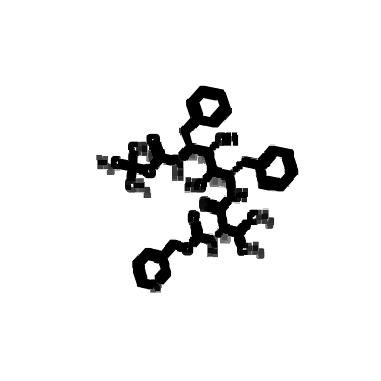 CC(C)[C@H](NC(=O)OCc1cccnc1)C(=O)N[C@@H](Cc1ccccc1)[C@@H](O)[C@@H](O)[C@H](Cc1ccccc1)NC(=O)OC(C)(C)C